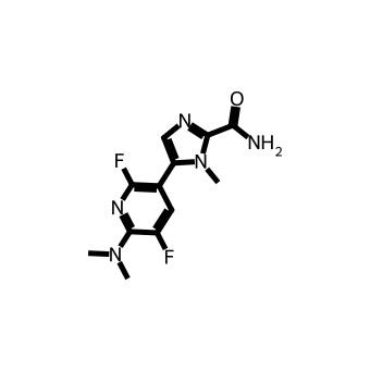 CN(C)c1nc(F)c(-c2cnc(C(N)=O)n2C)cc1F